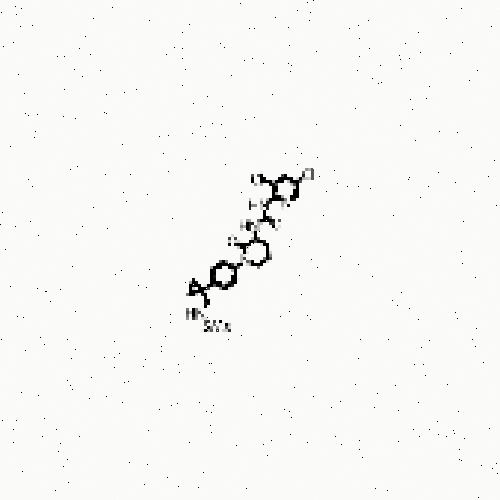 CSNCC1(c2ccc(N3CCCC(NC(=O)Nc4ncc(Cl)cc4Cl)C3=O)cc2)CC1